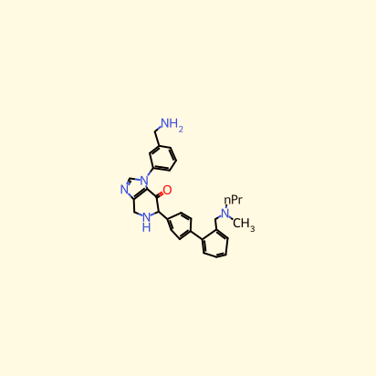 CCCN(C)Cc1ccccc1-c1ccc(C2NCc3ncn(-c4cccc(CN)c4)c3C2=O)cc1